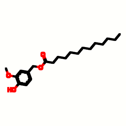 CCCCCCCCCCCCC(=O)OCc1ccc(O)c(OC)c1